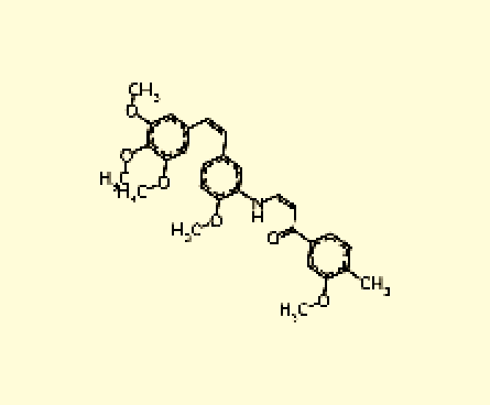 COc1cc(C(=O)/C=C\Nc2cc(/C=C\c3cc(OC)c(OC)c(OC)c3)ccc2OC)ccc1C